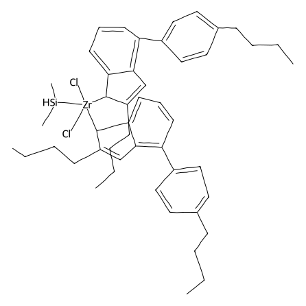 CCCCC1=Cc2c(-c3ccc(CCCC)cc3)cccc2[CH]1[Zr]([Cl])([Cl])([CH]1C(CCCC)=Cc2c(-c3ccc(CCCC)cc3)cccc21)[SiH](C)C